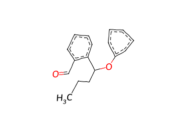 CCCC(Oc1ccccc1)c1ccccc1C=O